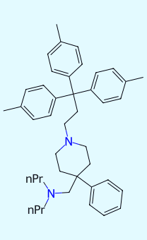 CCCN(CCC)CC1(c2ccccc2)CCN(CCC(c2ccc(C)cc2)(c2ccc(C)cc2)c2ccc(C)cc2)CC1